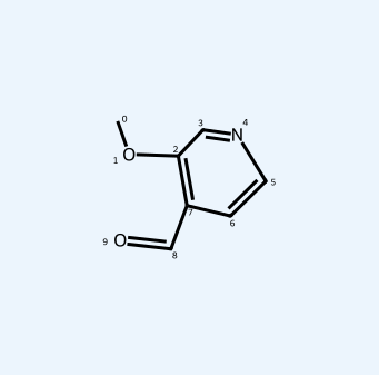 COc1cnccc1C=O